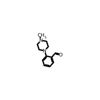 CN1CCN(c2c[c]ccc2C=O)CC1